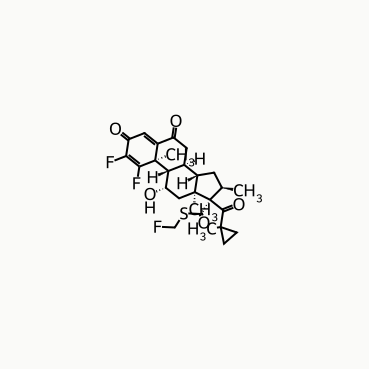 C[C@@H]1C[C@H]2[C@@H]3CC(=O)C4=CC(=O)C(F)=C(F)[C@]4(C)[C@H]3[C@@H](O)C[C@]2(C)[C@]1(C(=O)SCF)C(=O)C1(C)CC1